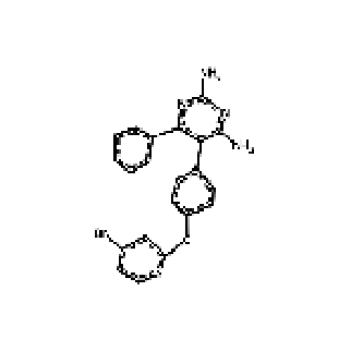 Nc1nc(N)c(-c2ccc(Oc3cc(Br)ccn3)cc2)c(-c2ccccc2)n1